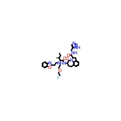 CC[C@H](C)[C@@H](C(=O)NC1CCc2cccc3c2N(C1=O)C(C(=O)NCc1cnn[nH]1)C3)N(CCOCCF)CCc1nc2ccccc2o1